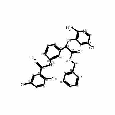 Nc1ncc(Cl)cc1O[C@@H](C(=O)OCc1ccccc1)c1cccc(NC(=O)c2cc(Cl)ccc2Cl)c1